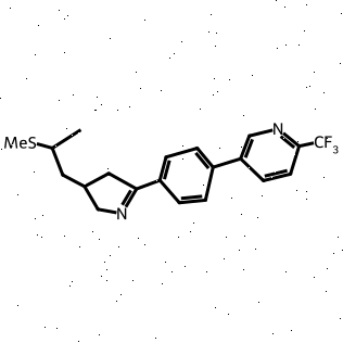 CSC(C)CC1CN=C(c2ccc(-c3ccc(C(F)(F)F)nc3)cc2)C1